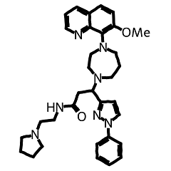 COc1ccc2cccnc2c1N1CCCN(C(CC(=O)NCCN2CCCC2)c2ccn(-c3ccccc3)n2)CC1